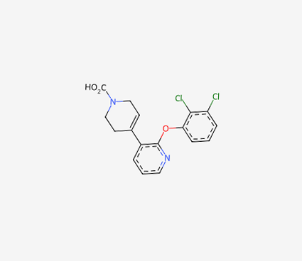 O=C(O)N1CC=C(c2cccnc2Oc2cccc(Cl)c2Cl)CC1